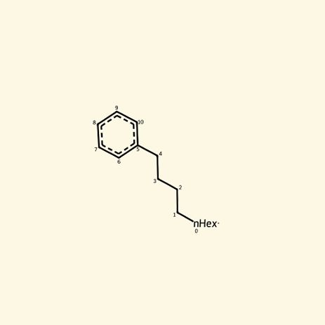 CCCCC[CH]CCCCc1ccccc1